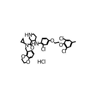 Cc1cc(Cl)c(OCCOc2ccc(NC3CCNCC3C(=O)N(Cc3cccc4c3OCCO4)C3CC3)c(Cl)c2)c(Cl)c1.Cl